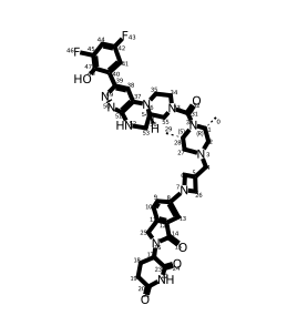 C[C@@H]1CN(CC2CN(c3ccc4c(c3)C(=O)N(C3CCC(=O)NC3=O)C4)C2)C[C@H](C)N1C(=O)N1CCN2c3cc(-c4cc(F)cc(F)c4O)nnc3NC[C@H]2C1